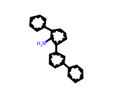 Nc1c(-c2ccccc2)cccc1-c1cccc(-c2ccccc2)c1